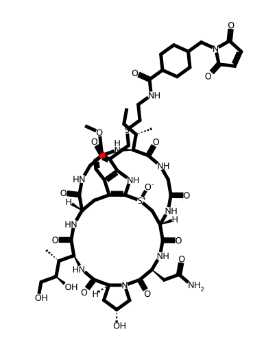 CC[C@H](C)[C@@H]1NC(=O)CNC(=O)[C@@H]2Cc3c([nH]c4c(CSCCNC(=O)C5CCC(CN6C(=O)C=CC6=O)CC5)c(OC)ccc34)[S+]([O-])C[C@H](NC(=O)CNC1=O)C(=O)N[C@@H](CC(N)=O)C(=O)N1C[C@H](O)C[C@H]1C(=O)N[C@@H]([C@@H](C)[C@@H](O)CO)C(=O)N2